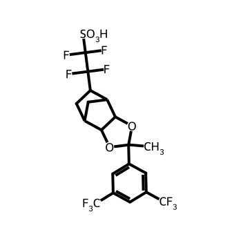 CC1(c2cc(C(F)(F)F)cc(C(F)(F)F)c2)OC2C3CC(C2O1)C(C(F)(F)C(F)(F)S(=O)(=O)O)C3